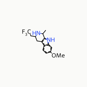 COc1ccc2c3c([nH]c2c1)C(C)NC(CC(F)(F)F)C3